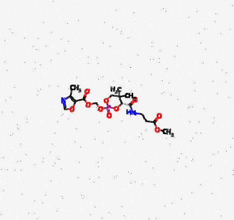 COC(=O)CCNC(=O)[C@@H]1OP(=O)(OCOC(=O)c2ocnc2C)OCC1(C)C